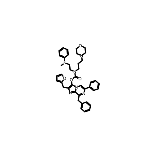 CN(CCN(CCCN1CCOCC1)C(=O)Oc1c(Cc2ccco2)nc2c(Cc3ccccc3)nc(-c3ccccc3)cn12)c1ccccc1